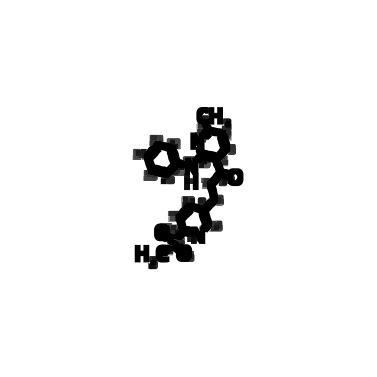 Cc1ccc(C(=O)CCc2ccc(S(C)(=O)=O)nc2)c(Nc2ccccc2)n1